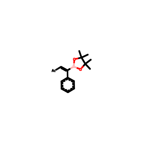 CC(=O)/C=C(/B1OC(C)(C)C(C)(C)O1)c1ccccc1